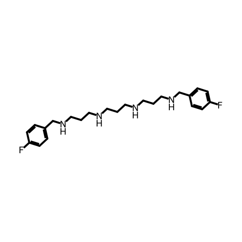 Fc1ccc(CNCCCNCCCNCCCNCc2ccc(F)cc2)cc1